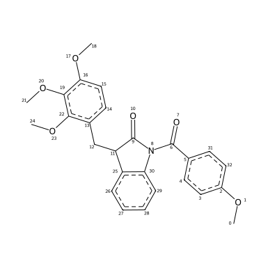 COc1ccc(C(=O)N2C(=O)C(Cc3ccc(OC)c(OC)c3OC)c3ccccc32)cc1